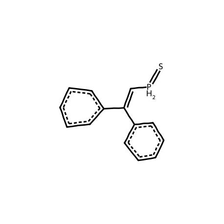 S=[PH2]C=C(c1ccccc1)c1ccccc1